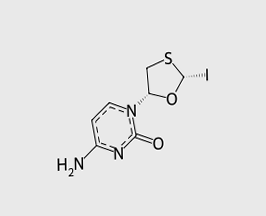 Nc1ccn([C@@H]2CS[C@H](I)O2)c(=O)n1